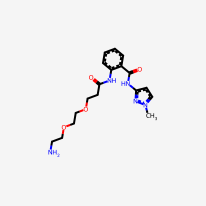 Cn1ccc(NC(=O)c2ccccc2NC(=O)CCOCCOCCN)n1